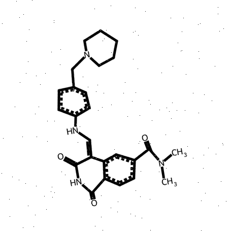 CN(C)C(=O)c1ccc2c(c1)C(=CNc1ccc(CN3CCCCC3)cc1)C(=O)NC2=O